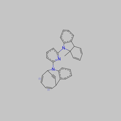 CC12C=CC=CC1c1ccccc1N2c1cccc(N2c3ccccc3C3C#CC2/C=C\C=C/3)n1